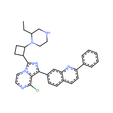 CCC1CNCCN1C1CCC1c1nc(-c2ccc3ccc(-c4ccccc4)nc3c2)c2c(Cl)nccn12